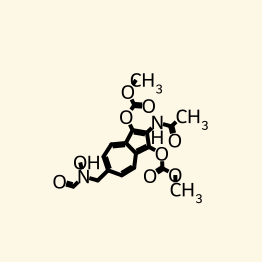 COC(=O)Oc1c2ccc(CN(O)C=O)ccc-2c(OC(=O)OC)c1NC(C)=O